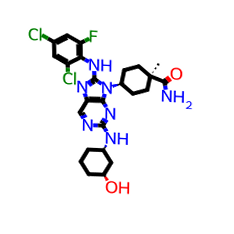 C[C@]1(C(N)=O)CC[C@@H](n2c(Nc3c(F)cc(Cl)cc3Cl)nc3cnc(N[C@H]4CCC[C@H](O)C4)nc32)CC1